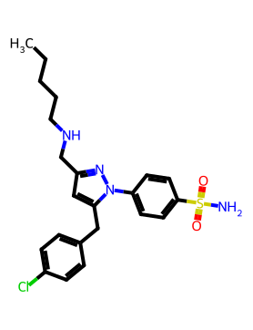 CCCCCNCc1cc(Cc2ccc(Cl)cc2)n(-c2ccc(S(N)(=O)=O)cc2)n1